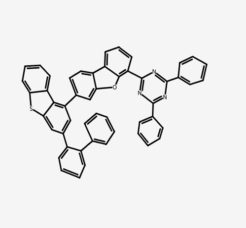 c1ccc(-c2nc(-c3ccccc3)nc(-c3cccc4c3oc3cc(-c5cc(-c6ccccc6-c6ccccc6)cc6sc7ccccc7c56)ccc34)n2)cc1